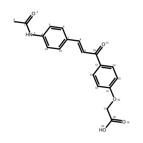 CC(=O)Nc1ccc(/C=C/C(=O)c2ccc(OCC(=O)O)cc2)cc1